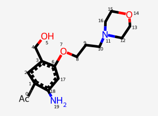 CC(=O)c1cc(CO)c(OCCCN2CCOCC2)cc1N